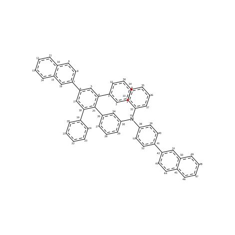 c1ccc(-c2cc(-c3ccc4ccccc4c3)cc(-c3ccccc3)c2-c2cccc(N(c3ccccc3)c3ccc(-c4ccc5ccccc5c4)cc3)c2)cc1